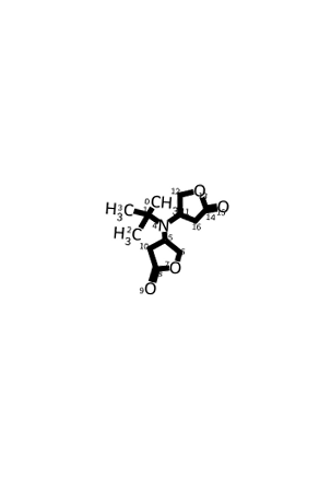 CC(C)(C)N(C1COC(=O)C1)C1COC(=O)C1